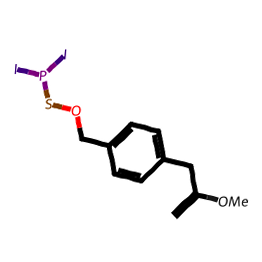 C=C(Cc1ccc(COSP(I)I)cc1)OC